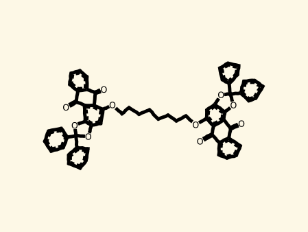 O=C1c2ccccc2C(=O)c2c3c(cc(OCCCCCCCCOc4cc5c(c6c4C(=O)c4ccccc4C6=O)OC(c4ccccc4)(c4ccccc4)O5)c21)OC(c1ccccc1)(c1ccccc1)O3